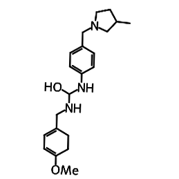 COC1=CC=C(CNC(O)Nc2ccc(CN3CCC(C)C3)cc2)CC1